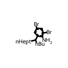 CCCCCCCC(CCCC)c1cc(Br)cc(Br)c1N